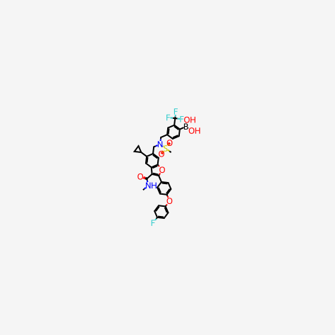 CNC(=O)c1c(-c2ccc(Oc3ccc(F)cc3)cc2)oc2cc(CN(Cc3ccc(B(O)O)c(C(F)(F)F)c3)S(C)(=O)=O)c(C3CC3)cc12